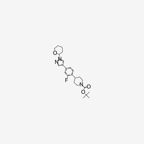 CC(C)(C)OC(=O)N1CCC(c2ccc(-c3cnn(C4CCCCO4)c3)cc2F)CC1